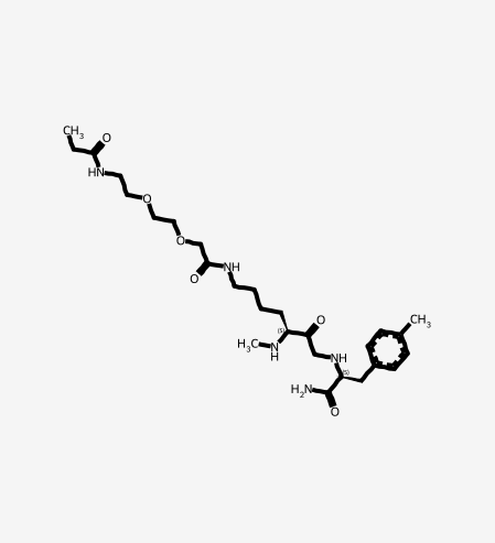 CCC(=O)NCCOCCOCC(=O)NCCCC[C@H](NC)C(=O)CN[C@@H](Cc1ccc(C)cc1)C(N)=O